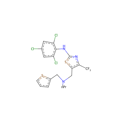 CCCN(Cc1cccs1)Cc1sc(Nc2c(Cl)cc(Cl)cc2Cl)nc1C(F)(F)F